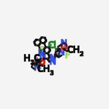 C=C(F)C(=O)N1CC[C@H](n2ncc3c(O[C@@H](C)[C@@H]4CCCN4C)nc4c(F)c(-c5cccc6cccc(C#N)c56)c(Cl)cc4c32)C[C@H]1CC#N